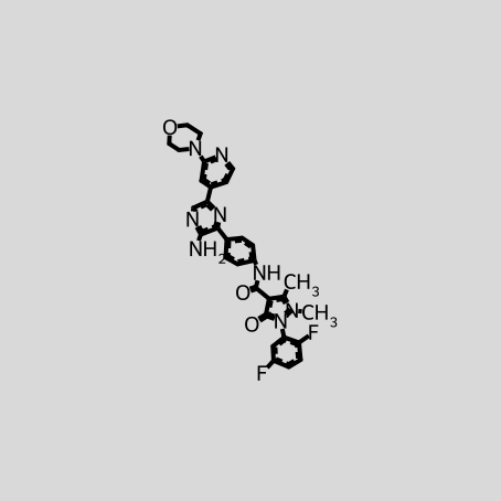 Cc1c(C(=O)Nc2ccc(-c3nc(-c4ccnc(N5CCOCC5)c4)cnc3N)cc2)c(=O)n(-c2cc(F)ccc2F)n1C